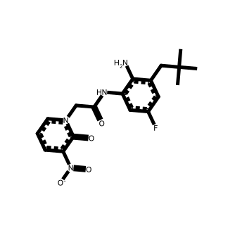 CC(C)(C)Cc1cc(F)cc(NC(=O)Cn2cccc([N+](=O)[O-])c2=O)c1N